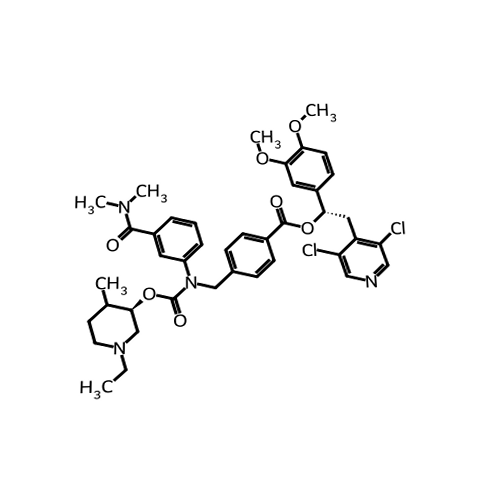 CCN1CCC(C)[C@@H](OC(=O)N(Cc2ccc(C(=O)O[C@@H](Cc3c(Cl)cncc3Cl)c3ccc(OC)c(OC)c3)cc2)c2cccc(C(=O)N(C)C)c2)C1